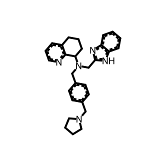 c1cnc2c(c1)CCCC2N(Cc1ccc(CN2CCCC2)cc1)Cc1nc2ccccc2[nH]1